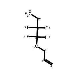 C=CCOC(F)(F)C(F)(F)CC(F)(F)F